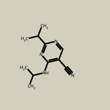 CC(C)Nc1nc(C(C)C)ncc1C#N